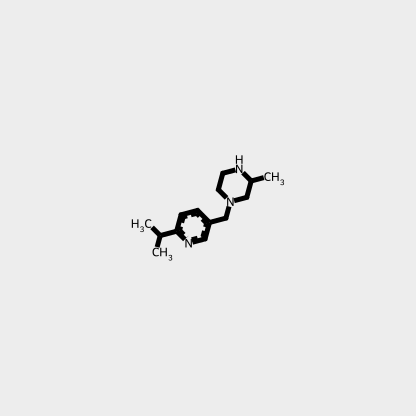 CC1CN(Cc2ccc(C(C)C)nc2)CCN1